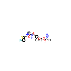 COc1cc(C(=O)NCC(=O)N(C)/N=C/c2csc3c(F)cccc23)ccc1OCCOC(=O)[C@@H](N)C(C)C